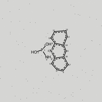 NP(O)O.c1ccc2nc3ccccc3cc2c1